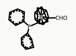 O=C[C]12[CH]3[CH]4[C]5(P(c6ccccc6)c6ccccc6)[CH]1[Fe]34251678[CH]2[CH]1[CH]6[CH]7[CH]28